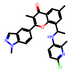 Cc1cc(C(C)Nc2ccc(Cl)nc2C)c2oc(-c3ccc4c(cnn4C)c3)c(C)c(=O)c2c1